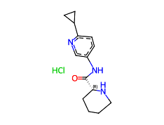 Cl.O=C(Nc1ccc(C2CC2)nc1)[C@H]1CCCCN1